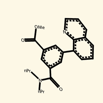 CCCN(CCC)C(=O)c1cc(C(=O)OC)cc(-c2cccc3cccnc23)c1